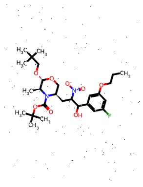 CCCOc1cc(F)cc(C(O)C(C[C@@H]2CO[C@@H](OCC(C)(C)C)[C@H](C)N2C(=O)OC(C)(C)C)[N+](=O)[O-])c1